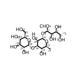 C[C@H](O)[C@H](O)[C@@H](O)[C@H](C=O)O[C@@H]1O[C@@H](C)[C@H](O)[C@@H](O[C@H]2O[C@H](CO)[C@@H](O)[C@H](O)[C@H]2O)[C@H]1O